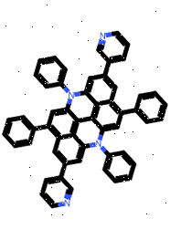 c1ccc(-c2cc3c4c5c2cc(-c2cccnc2)cc5n(-c2ccccc2)c2cc(-c5ccccc5)c5cc(-c6cccnc6)cc(c5c2-4)n3-c2ccccc2)cc1